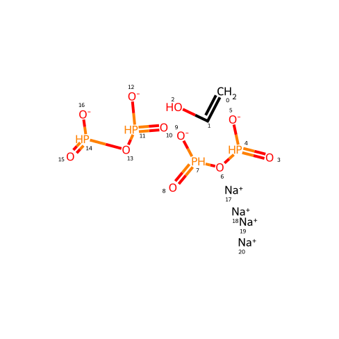 C=CO.O=[PH]([O-])O[PH](=O)[O-].O=[PH]([O-])O[PH](=O)[O-].[Na+].[Na+].[Na+].[Na+]